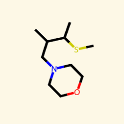 CSC(C)C(C)CN1CCOCC1